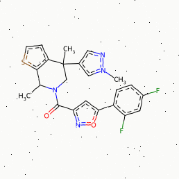 CC1c2sccc2C(C)(c2cnn(C)c2)CN1C(=O)c1cc(-c2ccc(F)cc2F)on1